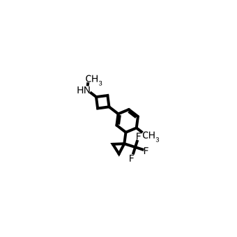 CNC1CC(C2=CC(C3(C(F)(F)F)CC3)C(C)C=C2)C1